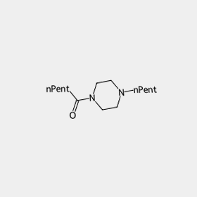 [CH2]CCCCN1CCN(C(=O)CCCCC)CC1